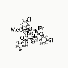 COc1ccc(Cl)cc1S(=O)(=O)N1CC(NC(=O)C2CCCC2)C(=O)N2C(Cc3ccc(Cl)cc3)C(=O)N(C(C)C)CC21